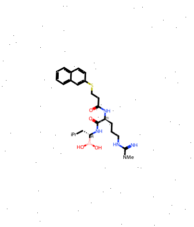 CNC(=N)NCCC[C@H](NC(=O)CCSc1ccc2ccccc2c1)C(=O)N[C@@H](CC(C)C)B(O)O